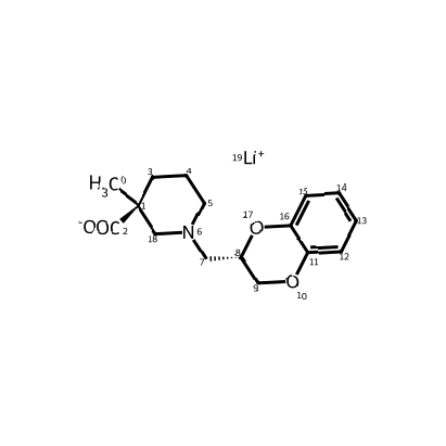 C[C@]1(C(=O)[O-])CCCN(C[C@H]2COc3ccccc3O2)C1.[Li+]